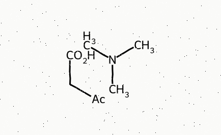 CC(=O)CC(=O)O.CN(C)C